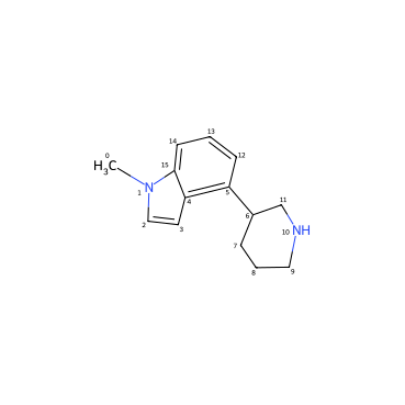 Cn1ccc2c(C3CCCNC3)cccc21